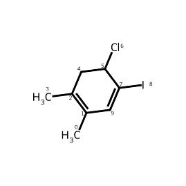 CC1=C(C)CC(Cl)C(I)=C1